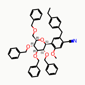 CCc1ccc(Cc2cc([C@@H]3O[C@H](COCc4ccccc4)[C@@H](OCc4ccccc4)[C@H](OCc4ccccc4)[C@H]3OCc3ccccc3)c(OC)cc2C#N)cc1